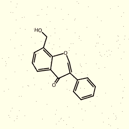 O=c1c(-c2ccccc2)coc2c(CO)cccc12